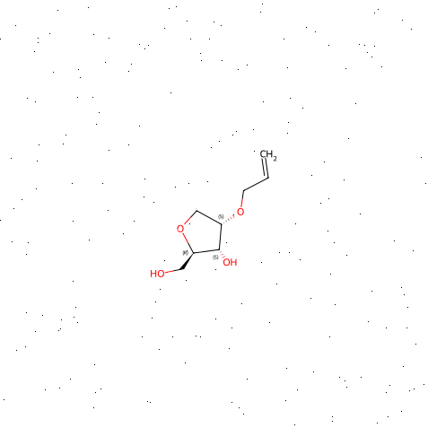 C=CCO[C@H]1[CH]O[C@H](CO)[C@H]1O